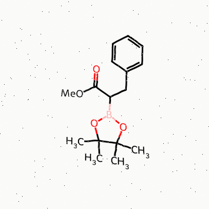 COC(=O)C(Cc1ccccc1)B1OC(C)(C)C(C)(C)O1